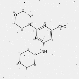 O=Cc1cc(NC2CCOCC2)nc(N2CCOCC2)n1